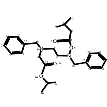 CC(C)CC(=O)ON(CCN(CC(=O)OC(C)C)Cc1ccccc1)Cc1ccccc1